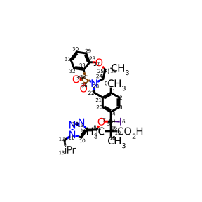 Cc1ccc([C@@](I)(OCc2cn(CC(C)C)nn2)C(C)(C)C(=O)O)cc1CN1C[C@@H](C)Oc2ccccc2S1(=O)=O